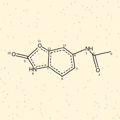 CC(=O)Nc1ccc2[nH]c(=O)oc2c1